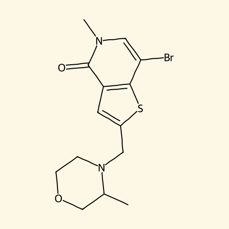 CC1COCCN1Cc1cc2c(=O)n(C)cc(Br)c2s1